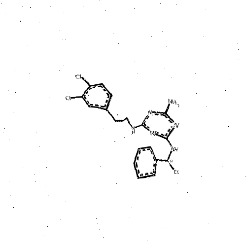 CC[C@H](Nc1nc(N)nc(NCCc2ccc(Cl)c(Cl)c2)n1)c1ccccc1